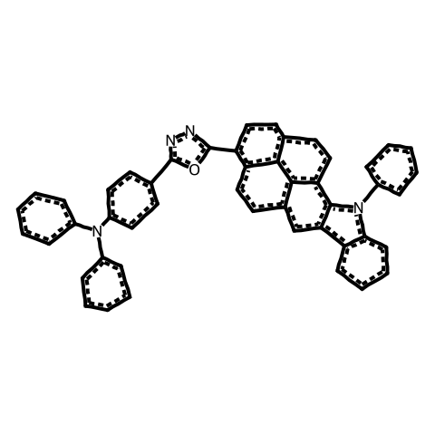 c1ccc(N(c2ccccc2)c2ccc(-c3nnc(-c4ccc5ccc6c7c(ccc4c57)cc4c5ccccc5n(-c5ccccc5)c46)o3)cc2)cc1